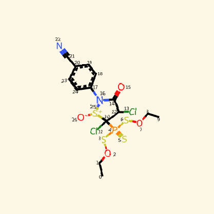 CCOSP(=S)(SOCC)C1(Cl)C(Cl)C(=O)N(c2ccc(C#N)cc2)[S+]1[O-]